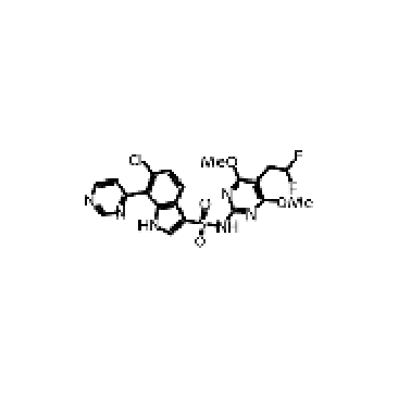 COc1nc(NS(=O)(=O)c2c[nH]c3c(-c4ccncn4)c(Cl)ccc23)nc(OC)c1CC(F)F